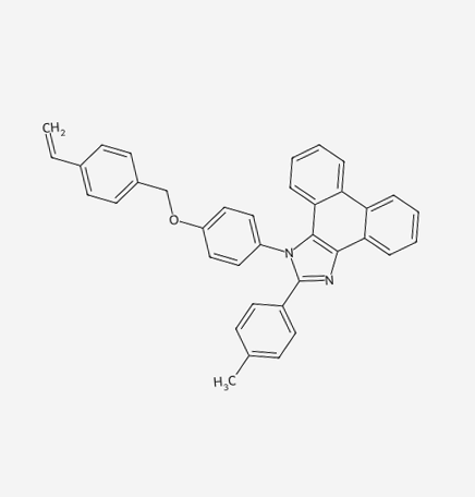 C=Cc1ccc(COc2ccc(-n3c(-c4ccc(C)cc4)nc4c5ccccc5c5ccccc5c43)cc2)cc1